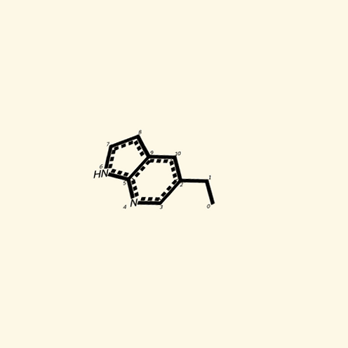 CCc1cnc2[nH]ccc2c1